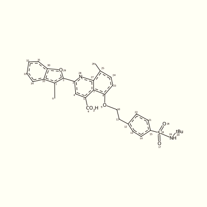 Cc1c(-c2cc(C(=O)O)c3c(OCCc4ccc(S(=O)(=O)NC(C)(C)C)cc4)ccc(C)c3n2)oc2ccccc12